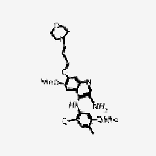 COc1cc(Nc2c(N)cnc3cc(OCCCN4CCOCC4)c(OC)cc23)c(Cl)cc1C